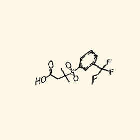 CC(C)(CC(=O)O)S(=O)(=O)c1cccc(C(F)(F)F)c1